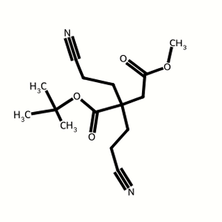 COC(=O)CC(CCC#N)(CCC#N)C(=O)OC(C)(C)C